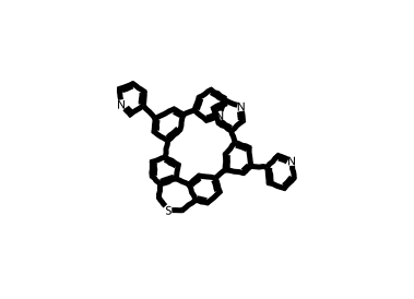 c1cncc(-c2cc(-c3cccnc3)cc(-c3ccc4c(c3)-c3cc(-c5cc(-c6cccnc6)cc(-c6cccnc6)c5)ccc3CSC4)c2)c1